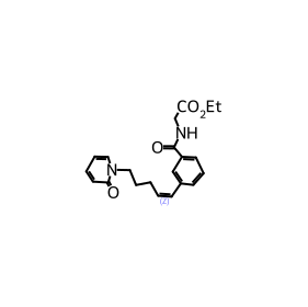 CCOC(=O)CNC(=O)c1cccc(/C=C\CCCn2ccccc2=O)c1